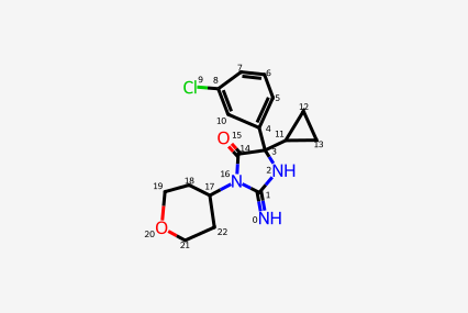 N=C1NC(c2cccc(Cl)c2)(C2CC2)C(=O)N1C1CCOCC1